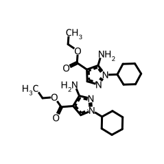 CCOC(=O)c1cn(C2CCCCC2)nc1N.CCOC(=O)c1cnn(C2CCCCC2)c1N